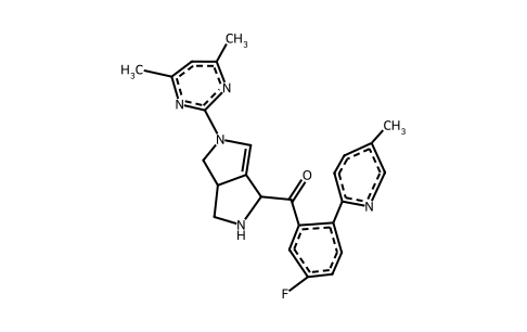 Cc1ccc(-c2ccc(F)cc2C(=O)C2NCC3CN(c4nc(C)cc(C)n4)C=C32)nc1